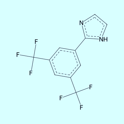 FC(F)(F)c1cc(-c2ncc[nH]2)cc(C(F)(F)F)c1